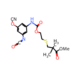 COC(=O)C(C)(C)CSCCOC(=O)Nc1cc(N=C=O)cc(OC#N)c1